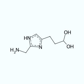 NCc1nc(CCC(O)O)c[nH]1